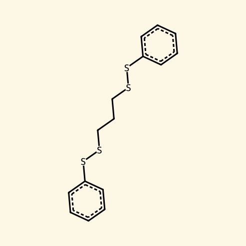 c1ccc(SSCCCSSc2ccccc2)cc1